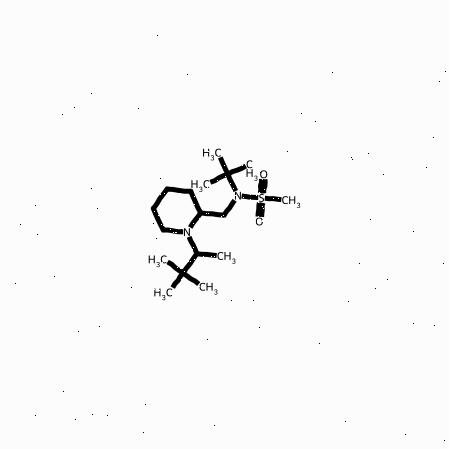 CC(N1CCCCC1CN(C(C)(C)C)S(C)(=O)=O)C(C)(C)C